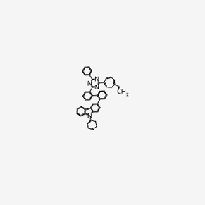 C=CC1=CC=CC(c2nc(-c3ccccc3)nc(-c3ccccc3-c3ccccc3-c3ccc4c(c3)c3ccccc3n4C3=CC=CCC3)n2)=CC1